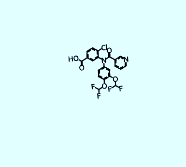 O=C(O)c1ccc(Cl)c(N(C(=O)c2cccnc2)c2ccc(OC(F)F)c(OC(F)F)c2)c1